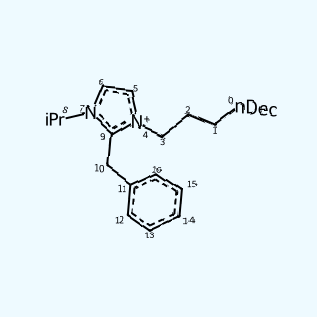 CCCCCCCCCCCCC[n+]1ccn(C(C)C)c1Cc1ccccc1